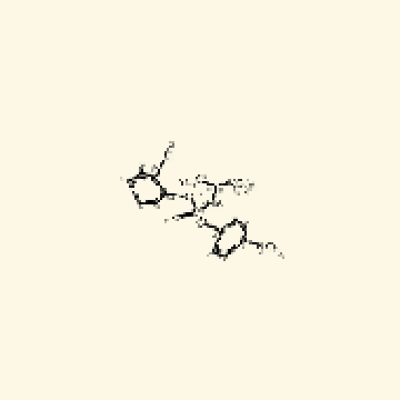 C[C@H](NP(=O)(Oc1ccc([N+](=O)[O-])cc1)Oc1ccccc1Cl)C(=O)O